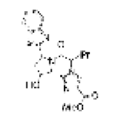 COC(=O)c1cn(C(C(=O)N2CC(O)CC2c2nc3ccccc3s2)C(C)C)nn1